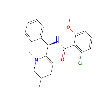 COc1cccc(Cl)c1C(=O)N[C@@H](C1=CCC(C)CN1C)c1ccccc1